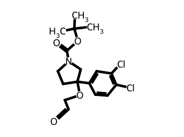 CC(C)(C)OC(=O)N1CCC(OCC=O)(c2ccc(Cl)c(Cl)c2)C1